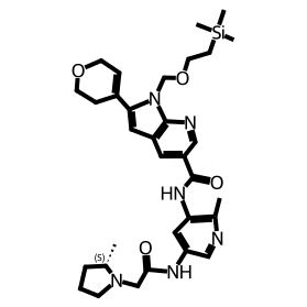 Cc1ncc(NC(=O)CN2CCC[C@@H]2C)cc1NC(=O)c1cnc2c(c1)cc(C1=CCOCC1)n2COCC[Si](C)(C)C